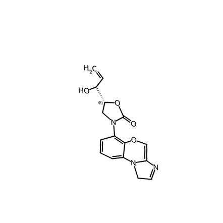 C=CC(O)[C@H]1CN(c2cccc3c2OC=C2N=CCN23)C(=O)O1